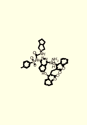 Cc1ccc(S(=O)(=O)NC(=O)NN2CC3CCCC3C2)cc1.NNc1nncc2ccccc12.O=c1oc2ccccc2c(O)c1Cc1c(O)c2ccccc2oc1=O